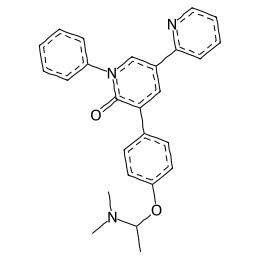 CC(Oc1ccc(-c2cc(-c3ccccn3)cn(-c3ccccc3)c2=O)cc1)N(C)C